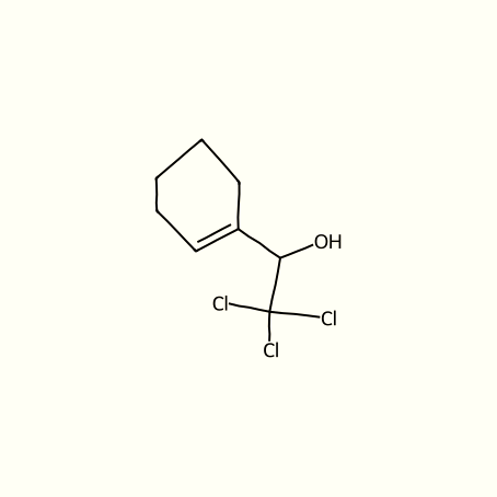 OC(C1=CCCCC1)C(Cl)(Cl)Cl